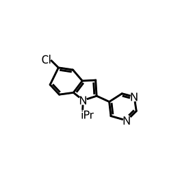 CC(C)n1c(-c2cncnc2)cc2cc(Cl)ccc21